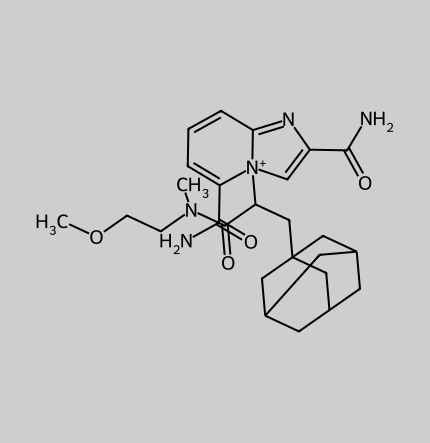 COCCN(C)C(=O)C(CC12CC3CC(CC(C3)C1)C2)[N+]12C=C(C(N)=O)N=C1C=CC=C2C(N)=O